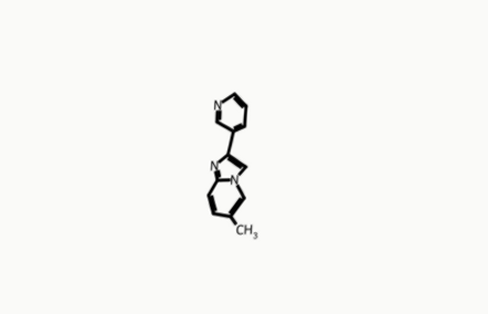 Cc1ccc2nc(-c3cccnc3)cn2c1